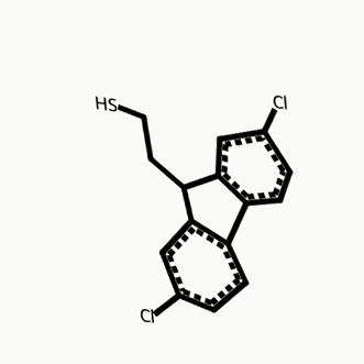 SCCC1c2cc(Cl)ccc2-c2ccc(Cl)cc21